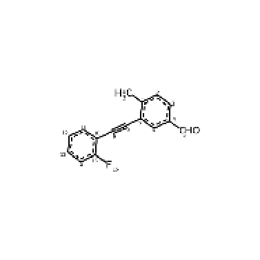 Cc1ccc(C=O)cc1C#Cc1ccccc1F